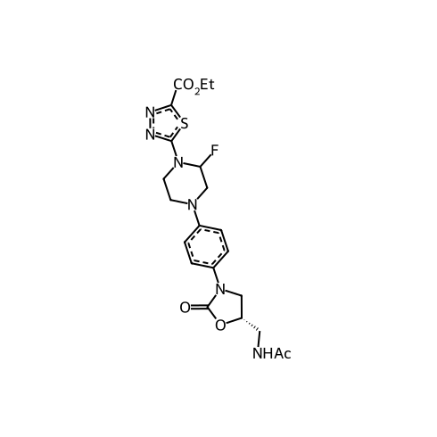 CCOC(=O)c1nnc(N2CCN(c3ccc(N4C[C@H](CNC(C)=O)OC4=O)cc3)CC2F)s1